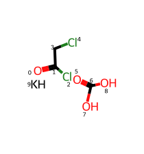 O=C(Cl)CCl.O=C(O)O.[KH]